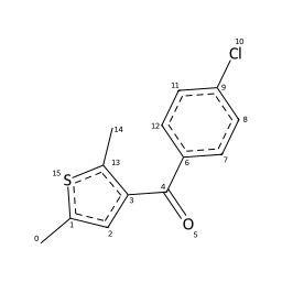 Cc1cc(C(=O)c2ccc(Cl)cc2)c(C)s1